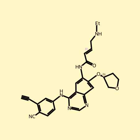 C#Cc1cc(Nc2ncnc3cc(O[C@H]4CCOC4)c(NC(=O)/C=C/CNCC)cc23)ccc1C#N